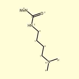 CNC(=O)NCCCCN(C)C